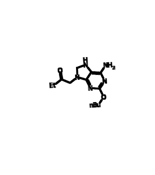 CCCCOc1nc(N)c2c(n1)N(CC(=O)CC)CN2